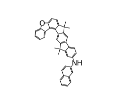 CC1(C)c2cc(Nc3ccc4ccccc4c3)ccc2-c2cc3c(cc21)-c1c(ccc2oc4ccccc4c12)C3(C)C